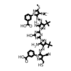 [C-]#[N+]c1c(SC)nn(-c2cccc(C(=O)O)c2)c1N=Nc1c(C(C)(C)C)nn(-c2nc(O)nc(-n3nc(C(C)(C)C)c(N=Nc4c(C#N)c(CS)nn4-c4cccc(C(=O)O)c4)c3N)n2)c1N